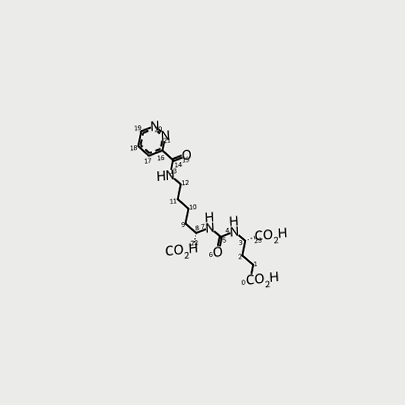 O=C(O)CC[C@H](NC(=O)N[C@@H](CCCCNC(=O)c1cccnn1)C(=O)O)C(=O)O